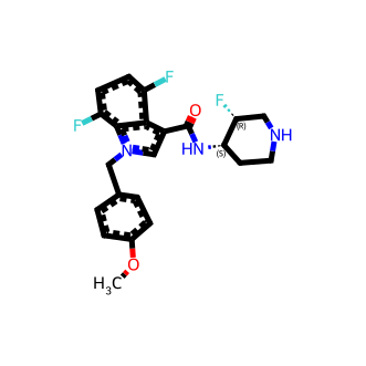 COc1ccc(Cn2cc(C(=O)N[C@H]3CCNC[C@H]3F)c3c(F)ccc(F)c32)cc1